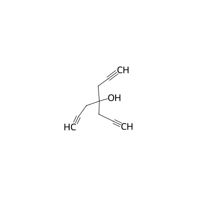 C#CCC(O)(CC#C)CC#C